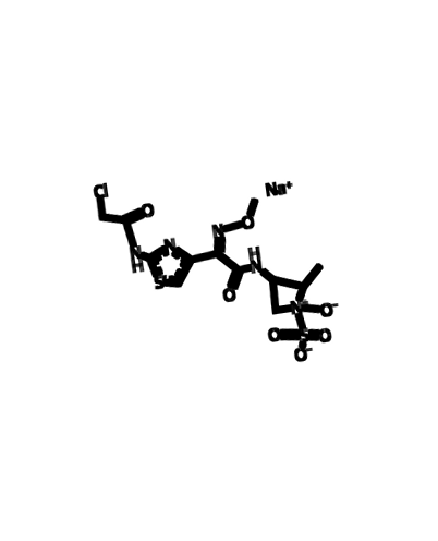 CON=C(C(=O)NC1C[N+]([O-])(S(=O)(=O)[O-])C1C)c1csc(NC(=O)CCl)n1.[Na+]